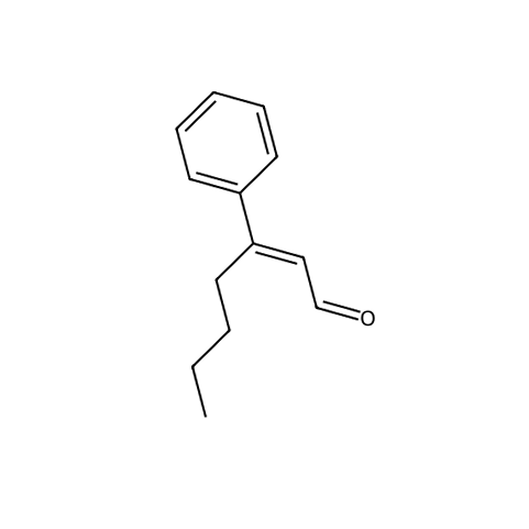 CCCCC(=CC=O)c1ccccc1